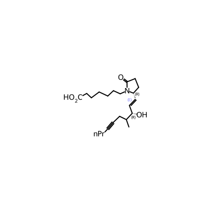 CCCC#CCC(C)[C@@H](O)/C=C/[C@H]1CCC(=O)N1CCCCCCC(=O)O